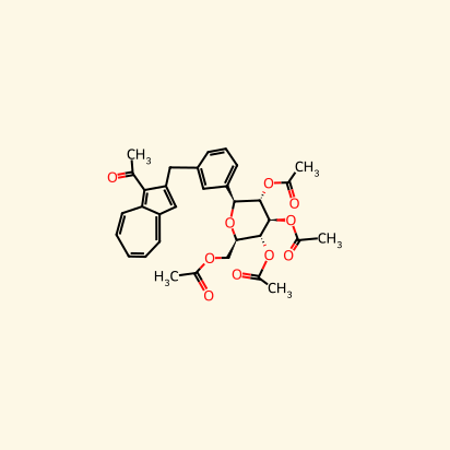 CC(=O)OC[C@H]1O[C@@H](c2cccc(Cc3cc4cccccc-4c3C(C)=O)c2)[C@H](OC(C)=O)[C@@H](OC(C)=O)[C@@H]1OC(C)=O